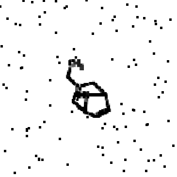 CCN1CC2C=CC(C1)N2